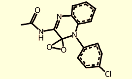 CC(=O)NC1=Nc2ccccc2N(c2ccc(Cl)cc2)C12OO2